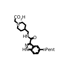 CCCCCc1ccc2[nH]nc(C(=O)NCC3CCN(CC(=O)O)CC3)c2c1